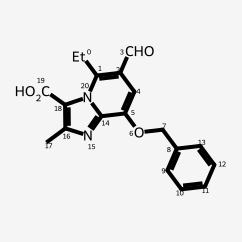 CCc1c(C=O)cc(OCc2ccccc2)c2nc(C)c(C(=O)O)n12